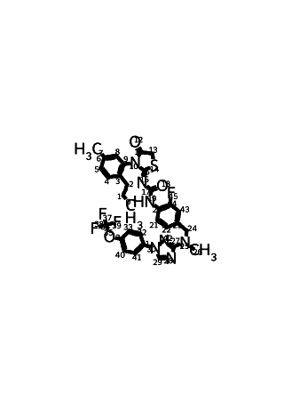 CCCc1ccc(C)cc1N1C(=O)CSC1=NC(=O)Nc1ccc(CN(C)c2ncn(-c3ccc(OC(F)(F)F)cc3)n2)cc1F